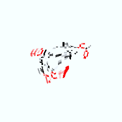 CC(=O)O[C@H]1CC[C@@]2(C)[C@H](CC[C@H]3[C@@H]4[C@@H](O)C[C@H](C(C)=O)[C@@]4(C)[C@H](O)C[C@@H]32)C1